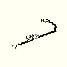 CCCCC/C=C\C/C=C\CCCCCCCCOC[C@H](COCCCCCCC)N(C)C